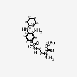 CN(CCNS(=O)(=O)c1ccc(NC2CCCCC2)c(N)c1)C(=O)OC(C)(C)C